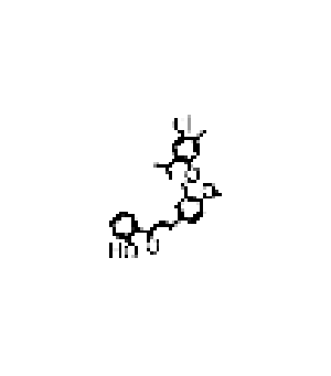 COc1ccc(/C=C/C(=O)c2ccccc2O)cc1COc1cc(C)c(Cl)cc1C(C)C